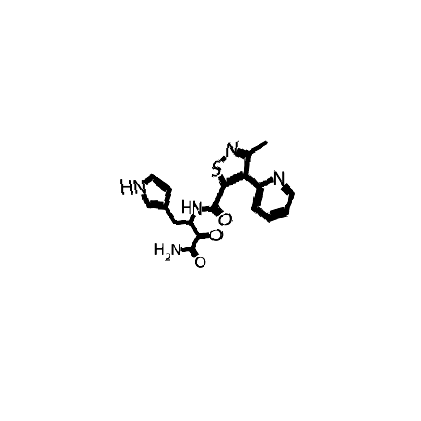 Cc1nsc(C(=O)NC(Cc2cc[nH]c2)C(=O)C(N)=O)c1-c1ccccn1